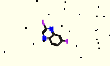 Ic1ccc2ncc(I)nc2c1